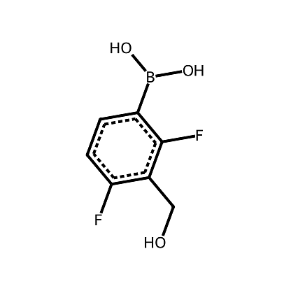 OCc1c(F)ccc(B(O)O)c1F